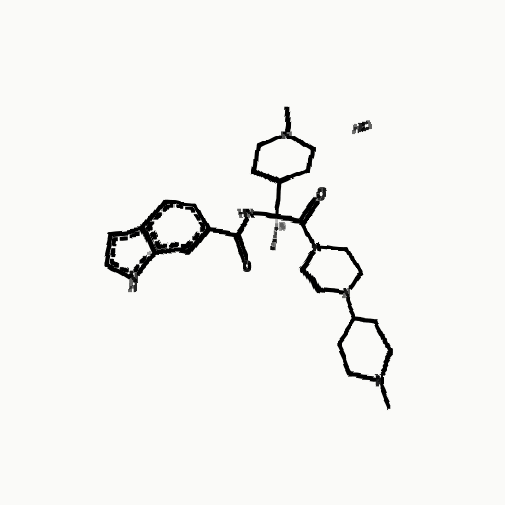 CN1CCC(N2CCN(C(=O)[C@@](C)(NC(=O)c3ccc4cc[nH]c4c3)C3CCN(C)CC3)CC2)CC1.Cl